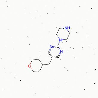 c1nc(N2CCNCC2)ncc1CC1CCOCC1